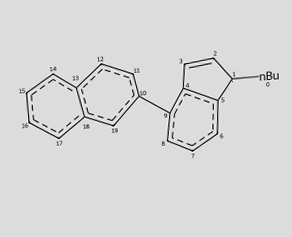 CCCC[C]1C=Cc2c1cccc2-c1ccc2ccccc2c1